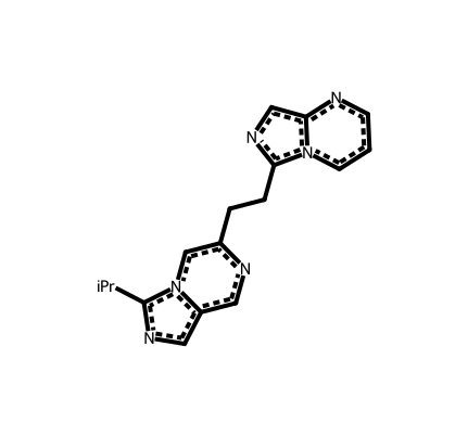 CC(C)c1ncc2cnc(CCc3ncc4ncccn34)cn12